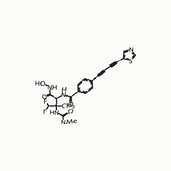 CNC(=O)NC(C)(C(F)F)C(NC(=O)c1ccc(C#CC#Cc2cncs2)cc1)C(=O)NO